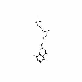 CN(CCCS(=O)(=O)O)CCOCC1CC(=O)c2c(Cl)c(Cl)cc(Cl)c2S1